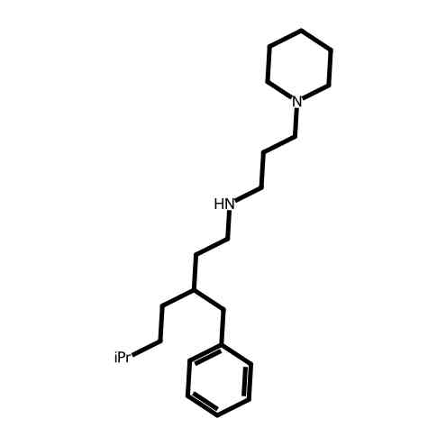 CC(C)CCC(CCNCCCN1CCCCC1)Cc1ccccc1